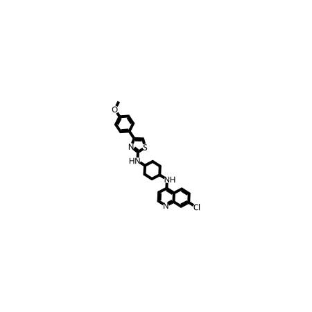 COc1ccc(-c2csc(NC3CCC(Nc4ccnc5cc(Cl)ccc45)CC3)n2)cc1